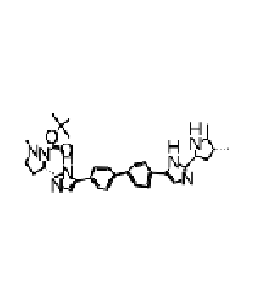 CC1N[C@H](c2ncc(-c3ccc(-c4ccc(-c5cnc([C@@H]6CCN(C)N6C(=O)OC(C)(C)C)[nH]5)cc4)cc3)[nH]2)C[C@H]1C